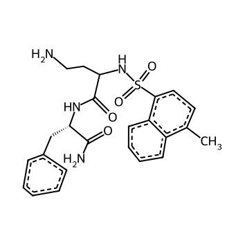 Cc1ccc(S(=O)(=O)NC(CCN)C(=O)N[C@@H](Cc2ccccc2)C(N)=O)c2ccccc12